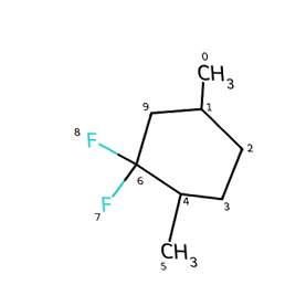 CC1CCC(C)C(F)(F)C1